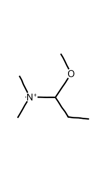 CCC(OC)[N+](C)C